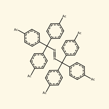 CC(=O)c1ccc(C(N=NC(c2ccc(C(C)=O)cc2)(c2ccc(C(C)=O)cc2)c2ccc(C(C)=O)cc2)(c2ccc(C(C)=O)cc2)c2ccc(C(C)=O)cc2)cc1